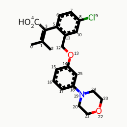 CC(C)=C(C(=O)O)c1ccc(Cl)cc1COc1cccc(N2CCOCC2)c1